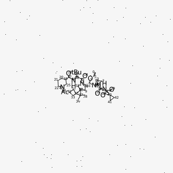 C=C[C@@H]1C[C@]1(NC(=O)[C@@H]1C[C@@]2(CN1C(=O)[C@@H](NC(=O)C1CCCN(C(C)=O)C1)C(C)(C)C)C(C)(C)C21CCC1)C(=O)NS(=O)(=O)C1CC1